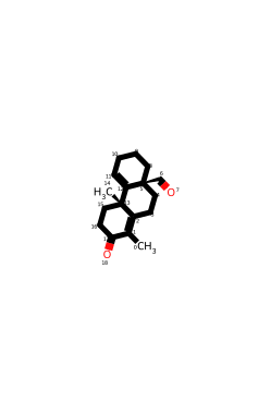 CC1=C2CC[C@@]3(C=O)CCCC=C3[C@@]2(C)CCC1=O